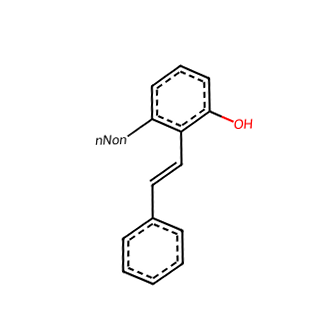 CCCCCCCCCc1cccc(O)c1C=Cc1ccccc1